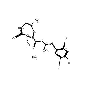 C[C@H]1CNC(=O)[C@@H](C)N(C(=O)C[C@H](N)Cc2cc(F)c(F)cc2F)C1.Cl